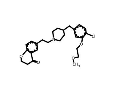 COCCOc1cc(CC2CCN(CCc3ccc4c(c3)C(=O)CCO4)CC2)ccc1Cl